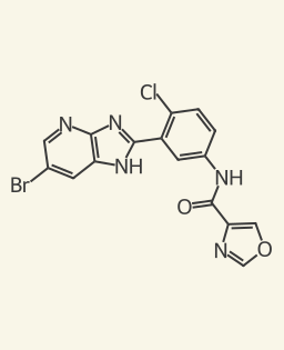 O=C(Nc1ccc(Cl)c(-c2nc3ncc(Br)cc3[nH]2)c1)c1cocn1